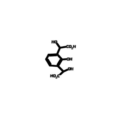 O=C(O)C(O)c1cccc(C(O)C(=O)O)c1O